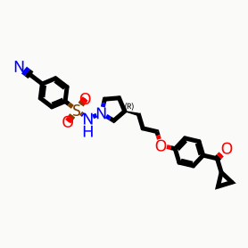 N#Cc1ccc(S(=O)(=O)NN2CC[C@@H](CCCOc3ccc(C(=O)C4CC4)cc3)C2)cc1